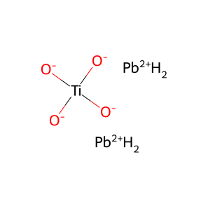 [O-][Ti]([O-])([O-])[O-].[PbH2+2].[PbH2+2]